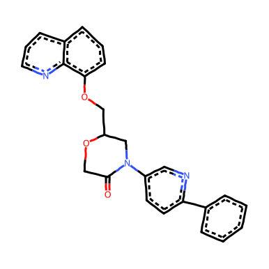 O=C1COC(COc2cccc3cccnc23)CN1c1ccc(-c2ccccc2)nc1